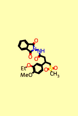 CCOc1cc(C(CC(=O)NN2C(=O)c3ccccc3C2=O)CS(C)(=O)=O)ccc1OC